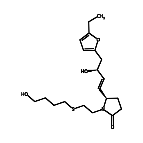 CCc1ccc(C[C@H](O)/C=C/[C@H]2CCC(=O)N2CCSCCCCO)o1